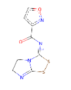 O=C(/N=C1/SSC2=NCCN21)c1ccon1